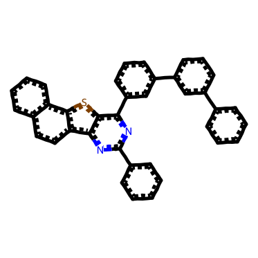 c1ccc(-c2cccc(-c3cccc(-c4nc(-c5ccccc5)nc5c4sc4c6ccccc6ccc54)c3)c2)cc1